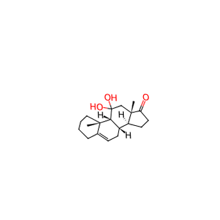 C[C@]12CCCCC1=CC[C@@H]1[C@H]2C(O)(O)C[C@]2(C)C(=O)CC[C@@H]12